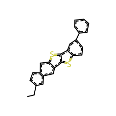 CCc1ccc2cc3sc4c5cc(-c6ccccc6)ccc5sc4c3cc2c1